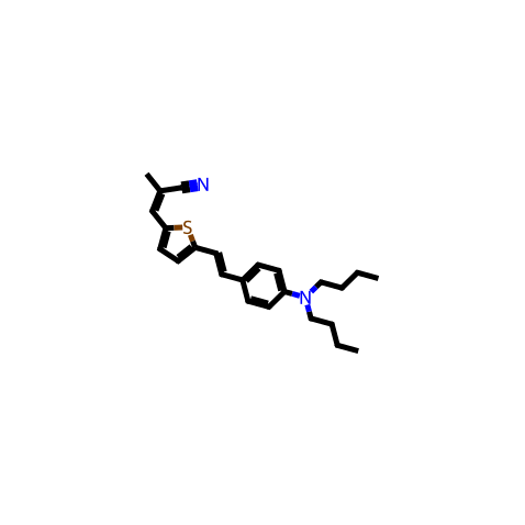 CCCCN(CCCC)c1ccc(/C=C/c2ccc(C=C(C)C#N)s2)cc1